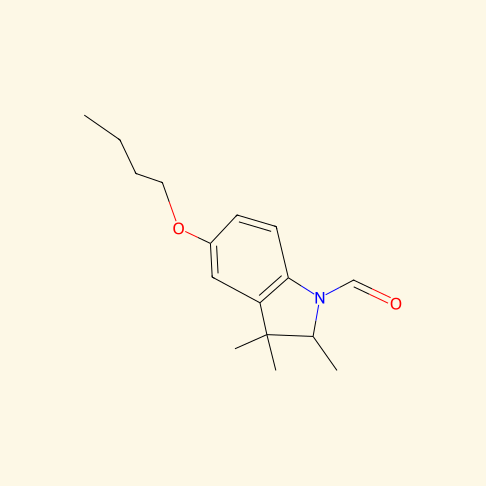 CCCCOc1ccc2c(c1)C(C)(C)C(C)N2C=O